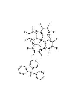 C[N+](c1ccccc1)(c1ccccc1)c1ccccc1.Fc1c(F)c(F)c([B-](c2c(F)c(F)c(F)c(F)c2F)(c2c(F)c(F)c(F)c(F)c2F)c2c(F)c(F)c(F)c(F)c2F)c(F)c1F